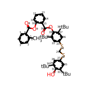 Cc1ccccc1C(=O)Oc1ccccc1C(=O)Oc1c(C(C)(C)C)cc(SCSc2cc(C(C)(C)C)c(O)c(C(C)(C)C)c2)cc1C(C)(C)C